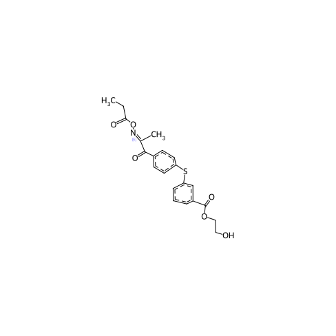 CCC(=O)O/N=C(\C)C(=O)c1ccc(Sc2cccc(C(=O)OCCO)c2)cc1